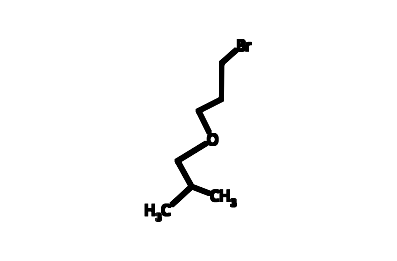 CC(C)COCCCBr